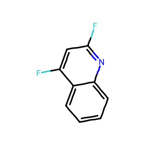 Fc1cc(F)c2ccccc2n1